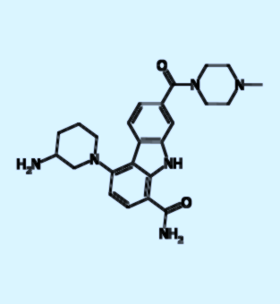 CN1CCN(C(=O)c2ccc3c(c2)[nH]c2c(C(N)=O)ccc(N4CCCC(N)C4)c23)CC1